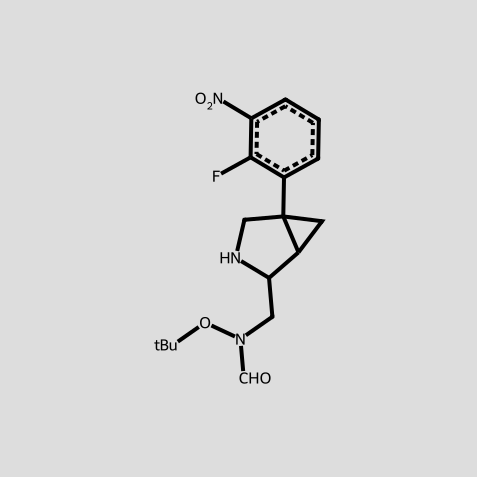 CC(C)(C)ON(C=O)CC1NCC2(c3cccc([N+](=O)[O-])c3F)CC12